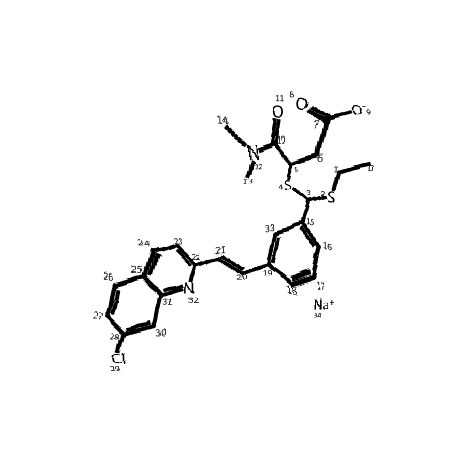 CCSC(SC(CC(=O)[O-])C(=O)N(C)C)c1cccc(C=Cc2ccc3ccc(Cl)cc3n2)c1.[Na+]